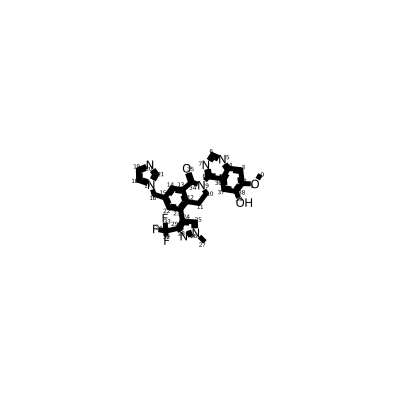 COc1cc2ncnc(N3CCc4c(cc(Cn5ccnc5)cc4-c4cn(C)nc4C(F)(F)F)C3=O)c2cc1O